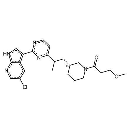 COCCC(=O)N1CCC[C@H](CC(C)c2ccnc(-c3c[nH]c4ncc(Cl)cc34)n2)C1